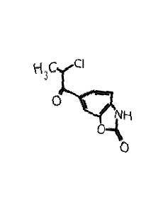 CC(Cl)C(=O)c1ccc2[nH]c(=O)oc2c1